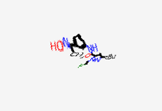 C/C(=N\O)c1cccc(NC(=O)c2cc(C(C)(C)C)nn2CCF)c1